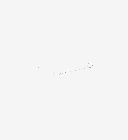 CCCCCCCCCCCCCCCCC[C@H]1OC[C@H](COC(=O)CCCCCOCc2ccccc2)O1